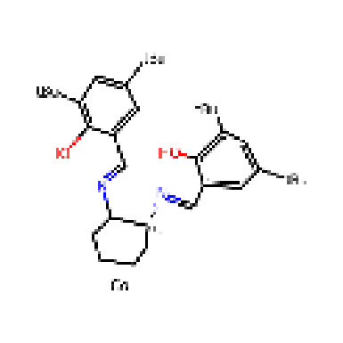 CC(C)(C)c1cc(C=NC2CCCC[C@H]2N=Cc2cc(C(C)(C)C)cc(C(C)(C)C)c2O)c(O)c(C(C)(C)C)c1.[Co]